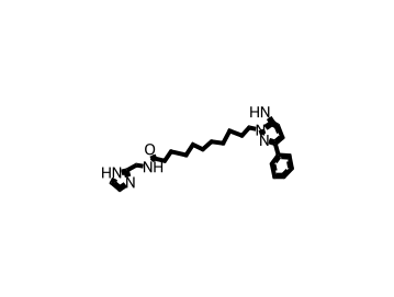 N=c1ccc(-c2ccccc2)nn1CCCCCCCCCCC(=O)NCc1ncc[nH]1